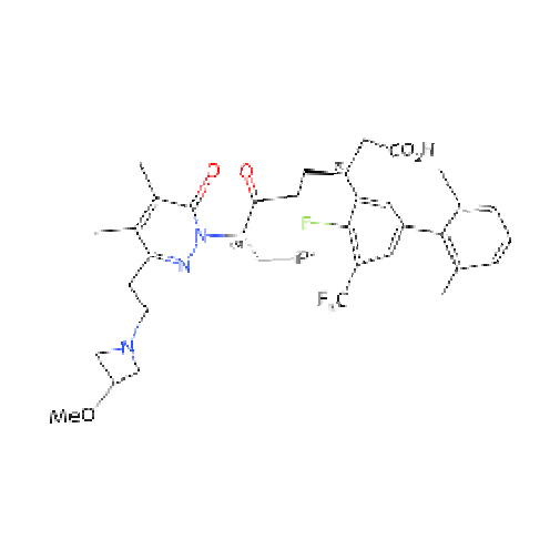 COC1CN(CCc2nn([C@@H](CC(C)C)C(=O)CC[C@@H](CC(=O)O)c3cc(-c4c(C)cccc4C)cc(C(F)(F)F)c3F)c(=O)c(C)c2C)C1